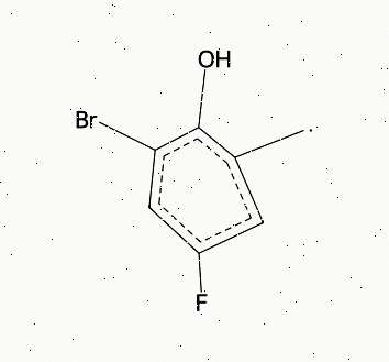 [CH2]c1cc(F)cc(Br)c1O